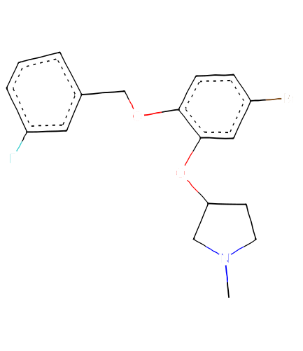 CN1CCC(Oc2cc(Br)ccc2OCc2cccc(F)c2)C1